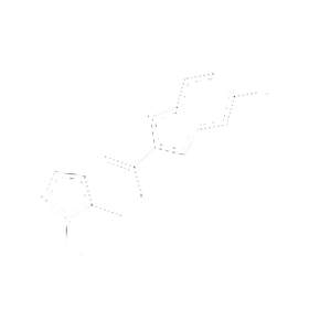 Cn1ncc2c1CCC(c1cc3cc(Br)ccc3[nH]1)=C2